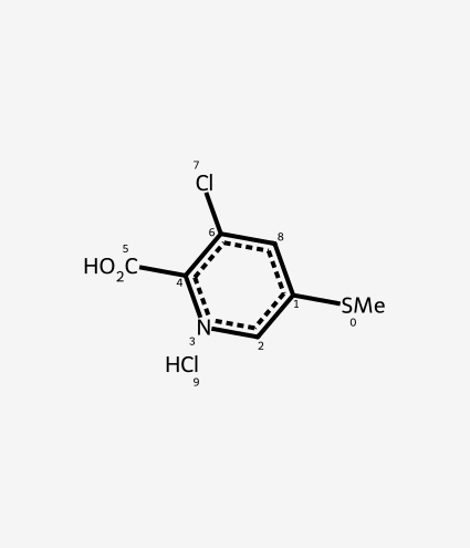 CSc1cnc(C(=O)O)c(Cl)c1.Cl